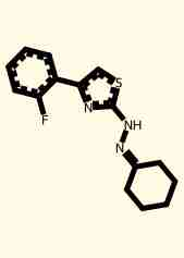 Fc1ccccc1-c1csc(NN=C2CCCCC2)n1